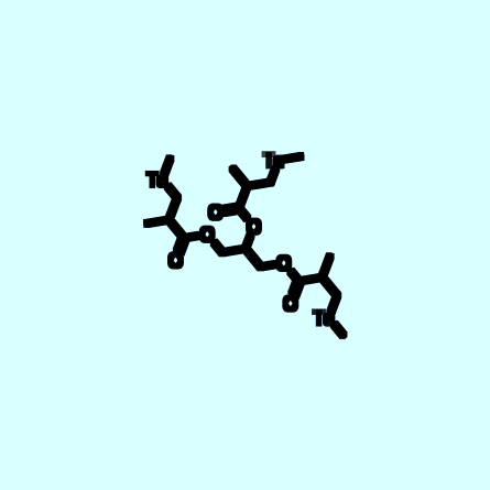 C[Te]CC(C)C(=O)OCC(COC(=O)C(C)C[Te]C)OC(=O)C(C)C[Te]C